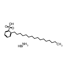 Br.CCCCCCCCCCCCCCCCc1ccccc1S(=O)(=O)O.N